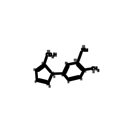 Cc1ccc(-n2nccc2C(=O)O)cc1C(C)(C)C